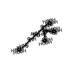 C[C@@H]1O[C@@H](OCCNC(=O)CCCCC(=O)NCCCC[C@H]([Au])C(=O)NCCCC[C@@H](C(=O)NCCO[C@@H]2O[C@@H](C)[C@@H](O)[C@@H](O)[C@@H]2O)N(CC(=O)NCCO[C@@H]2O[C@@H](C)[C@@H](O)[C@@H](O)[C@@H]2O)CC(=O)NCCO[C@@H]2O[C@@H](C)[C@@H](O)[C@@H](O)[C@@H]2O)[C@@H](O)[C@H](O)[C@@H]1O